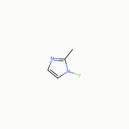 Cc1nc[c]n1F